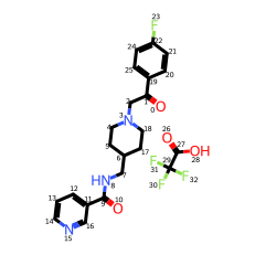 O=C(CN1CCC(CNC(=O)c2cccnc2)CC1)c1ccc(F)cc1.O=C(O)C(F)(F)F